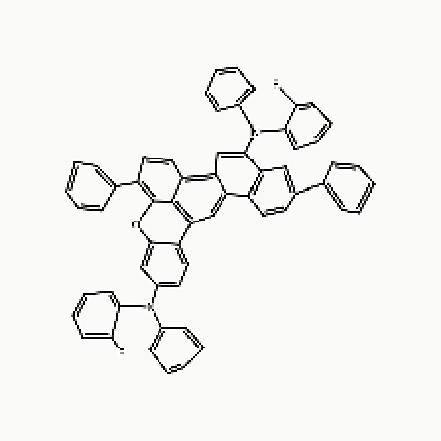 Fc1ccccc1N(c1ccccc1)c1ccc2c(c1)Oc1c(-c3ccccc3)ccc3c1c-2cc1c2ccc(-c4ccccc4)cc2c(N(c2ccccc2)c2ccccc2F)cc31